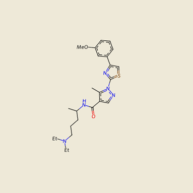 CCN(CC)CCCC(C)NC(=O)c1cnn(-c2nc(-c3cccc(OC)c3)cs2)c1C